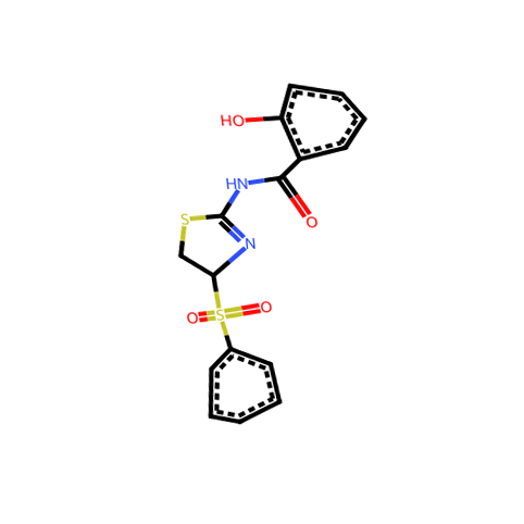 O=C(NC1=NC(S(=O)(=O)c2ccccc2)CS1)c1ccccc1O